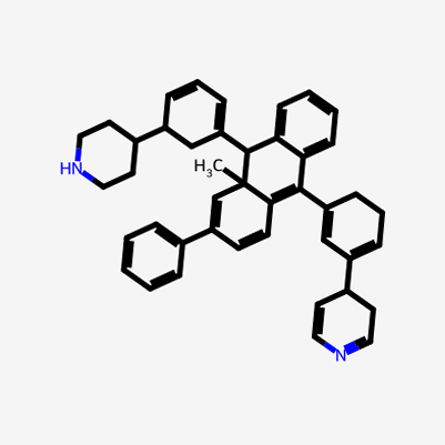 CC12C=C(c3ccccc3)C=CC1=C(C1=CC(C3C=CN=CC3)=CCC1)c1ccccc1C2C1=CC=CC(C2CCNCC2)C1